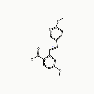 COc1ccc([N+](=O)[O-])c(/C=C/c2ccc(OC)nc2)c1